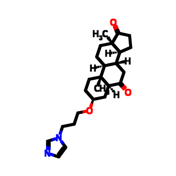 C[C@]12CC[C@H](OCCCn3ccnc3)C[C@@H]1C(=O)C[C@@H]1[C@@H]2CC[C@]2(C)C(=O)CC[C@@H]12